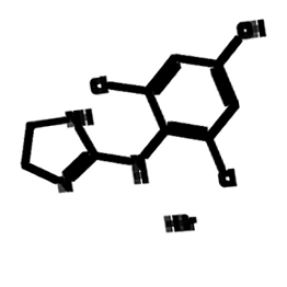 Br.Oc1cc(Cl)c(NC2=NCCN2)c(Cl)c1